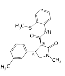 CSc1ccccc1NC(=O)[C@H]1C(=O)N(C)C[C@@H]1c1cccc(C)c1